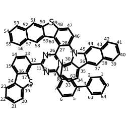 c1ccc(-c2cccc(-c3nc(-c4cccc5c4sc4ccccc45)nc(-c4c(-n5c6ccccc6c6cc7ccccc7cc65)ccc5sc6cc7ccccc7cc6c45)n3)c2)cc1